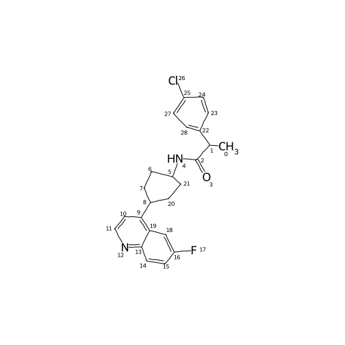 CC(C(=O)NC1CCC(c2ccnc3ccc(F)cc23)CC1)c1ccc(Cl)cc1